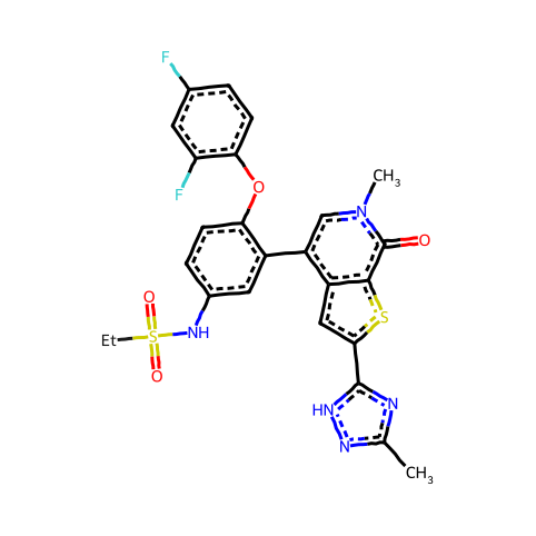 CCS(=O)(=O)Nc1ccc(Oc2ccc(F)cc2F)c(-c2cn(C)c(=O)c3sc(-c4nc(C)n[nH]4)cc23)c1